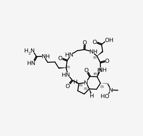 CN(O)C[C@@H]1C[C@@H]2CC[C@H]3C(=O)N[C@@H](CCCNC(=N)N)C(=O)NCC(=O)N[C@@H](CC(=O)O)C(=O)N[C@H]1C(=O)N23